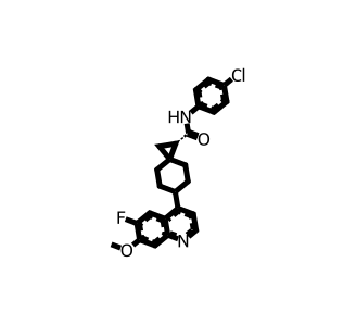 COc1cc2nccc(C3CCC4(CC3)C[C@@H]4C(=O)Nc3ccc(Cl)cc3)c2cc1F